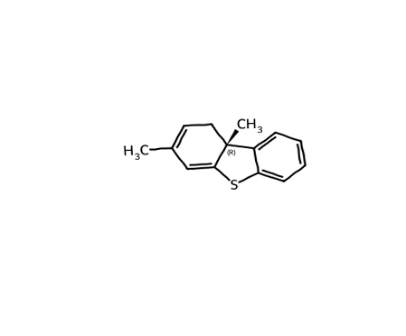 CC1=CC[C@@]2(C)C(=C1)Sc1ccccc12